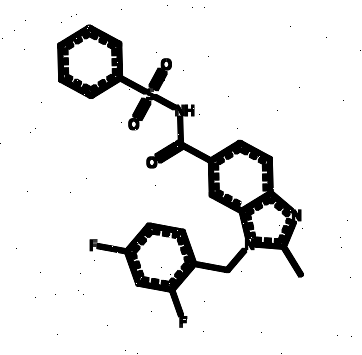 Cc1nc2ccc(C(=O)NS(=O)(=O)c3ccccc3)cc2n1Cc1ccc(F)cc1F